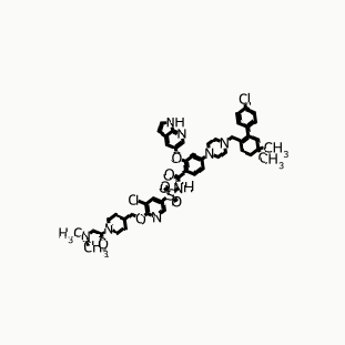 CN(C)CC(=O)N1CCC(COc2ncc(S(=O)(=O)NC(=O)c3ccc(N4CCN(CC5=C(c6ccc(Cl)cc6)CC(C)(C)CC5)CC4)cc3Oc3cnc4[nH]ccc4c3)cc2Cl)CC1